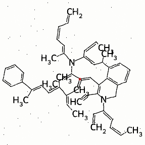 C#CC1=C(/C=C\C)c2c(cccc2C(C)/C=C(\C=C/C)N(/C(C)=C/C=C\C=C)C(/C=C\C(=C/C)C(\C)=C\C=C(/C)c2ccccc2)=C/C)CN1/C(C=C)=C/C=C\C